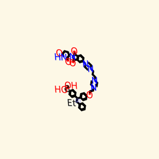 CC/C(=C(/c1ccc(OCCN2CCN(CCCN3CCN(c4ccc5c(c4)C(=O)N(C4CCC(=O)NC4=O)C5=O)CC3)CC2)cc1)c1ccc(B(O)O)cc1)c1ccccc1